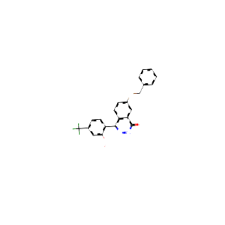 COc1cc(C(F)(F)F)ccc1-c1n[nH]c(=O)c2cc(SCc3ccccc3)ccc12